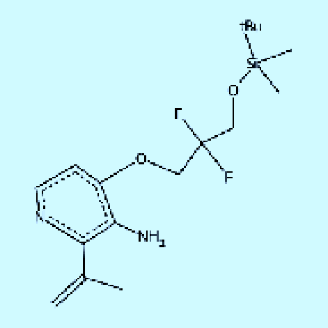 C=C(C)c1nccc(OCC(F)(F)CO[Si](C)(C)C(C)(C)C)c1N